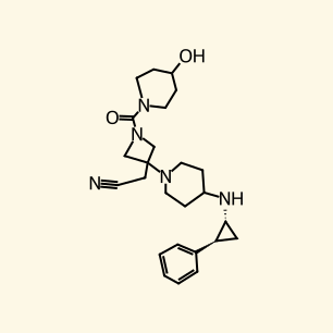 N#CCC1(N2CCC(N[C@@H]3C[C@H]3c3ccccc3)CC2)CN(C(=O)N2CCC(O)CC2)C1